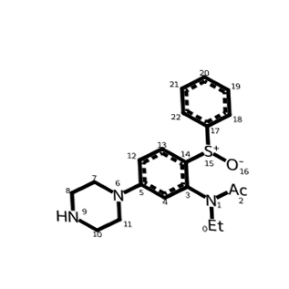 CCN(C(C)=O)c1cc(N2CCNCC2)ccc1[S+]([O-])c1ccccc1